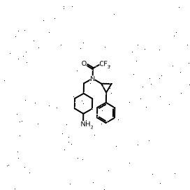 NC1CCC(CN(C(=O)C(F)(F)F)C2CC2c2ccccc2)CC1